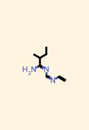 C=C/N=C\N=C(/N)C(C)CC